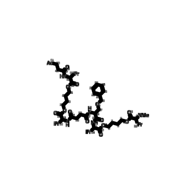 CNC(C(=O)OCCCCOC(=O)C(NC(=O)C(COCc1ccccc1)NC(=O)CCC(=O)NC(C(=O)OCCCCOC(=O)C(NC(=O)CCC(C)=O)C(C)C)C(C)C)C(C)C)C(C)C